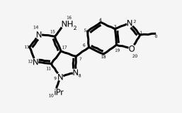 Cc1nc2ccc(-c3nn(C(C)C)c4ncnc(N)c34)cc2o1